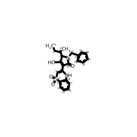 CCC(C)C1C(O)=C(C2=CS(=O)(=O)c3ccccc3N2)C(=O)N1Cc1ccccc1